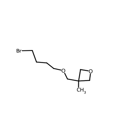 CC1(COCCCCBr)COC1